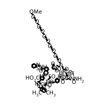 COCCOCCOCCOCCOCCOCCOCCOCCOCCOCCOCCN(CCC(=O)N[C@H](C(=O)N[C@@H](CCCNC(N)=O)C(=O)Nc1ccc(COC(=O)N(CCOC23CC4(C)CC(C)(CC(Cn5ncc(-c6ccc(N7CCc8cccc(C(=O)Nc9nc%10ccccc%10s9)c8C7)nc6C(=O)O)c5C)(C4)C2)C3)CCS(=O)(=O)O)cc1)C(C)C)C(=O)CN1C(=O)C=CC1=O